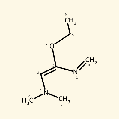 C=N/C(=C\N(C)C)OCC